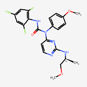 COC[C@H](C)Nc1nccc(N(C(=O)Nc2c(F)cc(F)cc2F)c2ccc(OC)cc2)n1